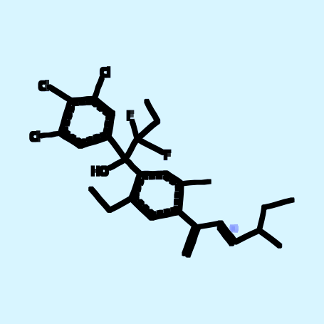 C=C(/C=C/C(C)CC)c1cc(CC)c(C(O)(c2cc(Cl)c(Cl)c(Cl)c2)C(F)(F)CC)cc1C